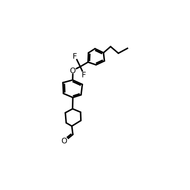 CCCc1ccc(C(F)(F)Oc2ccc(C3CCC(C=O)CC3)cc2)cc1